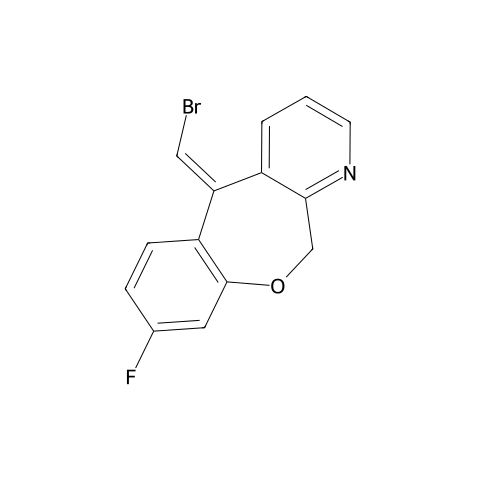 Fc1ccc2c(c1)OCc1ncccc1C2=CBr